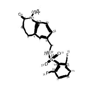 CCCN1C(=O)CCc2cc(CNS(=O)(=O)c3c(F)cccc3F)ccc21